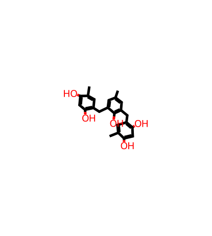 Cc1cc(Cc2cc(C)c(O)cc2O)c(O)c(Cc2cc(C)c(O)cc2O)c1